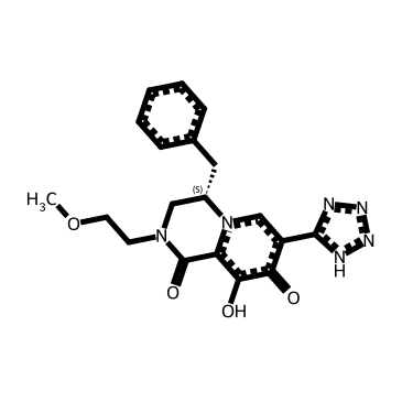 COCCN1C[C@H](Cc2ccccc2)n2cc(-c3nnn[nH]3)c(=O)c(O)c2C1=O